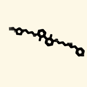 Cc1c(OCCCNCCc2ccncc2)cccc1-c1cccc(OCCCN2CC[C@@H](O)C2)c1C